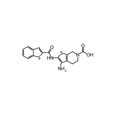 Nc1c(NC(=O)c2cc3ccccc3s2)sc2c1CCN(C(=O)O)C2